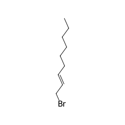 CCCCCCC=CCBr